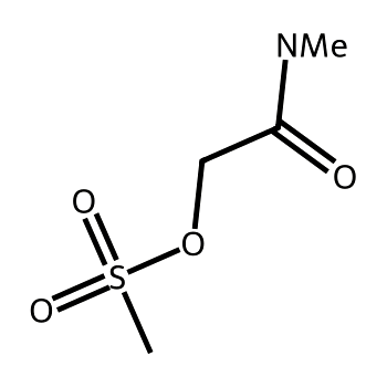 CNC(=O)COS(C)(=O)=O